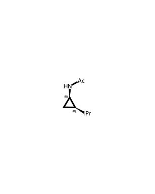 CC(=O)N[C@@H]1C[C@@H]1C(C)C